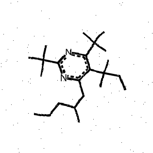 CCCC(C)Cc1nc(C(C)(C)C)nc(C(C)(C)C)c1C(C)(C)CC